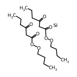 CCCCOOC(=O)CC(=O)CCC.CCCCOOC(=O)CC(=O)CCC.[Si]